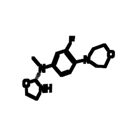 CN(c1ccc(N2CCOCC2)c(F)c1)[C@@H]1NCCO1